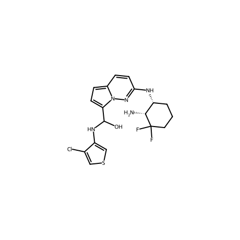 N[C@@H]1[C@H](Nc2ccc3ccc(C(O)Nc4cscc4Cl)n3n2)CCCC1(F)F